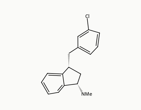 CN[C@H]1C[C@@H](Cc2cccc(Cl)c2)c2ccccc21